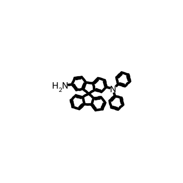 Nc1ccc2c(c1)C1(c3ccccc3-c3ccccc31)c1cc(N(c3ccccc3)c3ccccc3)ccc1-2